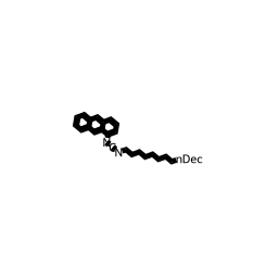 CCCCCCCCCCCCCCCCCCN=C=Nc1cccc2cc3ccccc3cc12